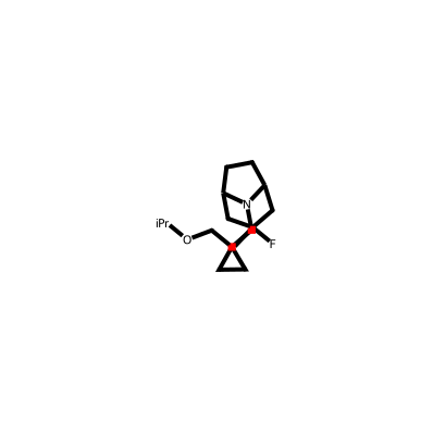 CC(C)OCC1(CN2C3CCC2CC(C)(F)C3)CC1